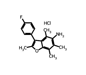 Cc1oc2c(C)c(C)c(N)c(C)c2c1-c1ccc(F)cc1.Cl